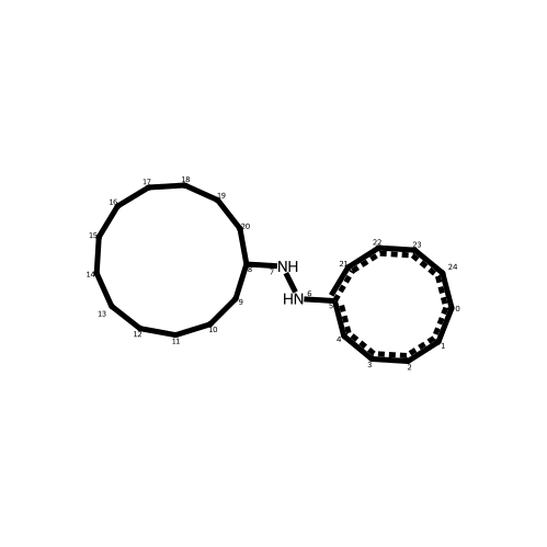 c1ccccc(NNC2CCCCCCCCCCCC2)cccc1